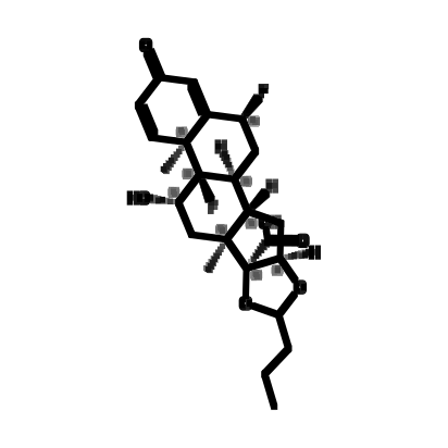 CCCC1O[C@@H]2C[C@H]3[C@@H]4C[C@H](F)C5=CC(=O)C=C[C@]5(C)[C@@]4(F)[C@@H](O)C[C@]3(C)[C@]2(C(=O)O)O1